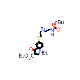 CCCCOC(=O)NCCN(C)CCSc1ccc2c(c1)c(=O)c(C(=O)OCC)cn2CC